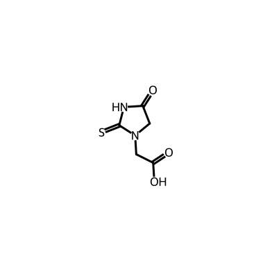 O=C(O)CN1CC(=O)NC1=S